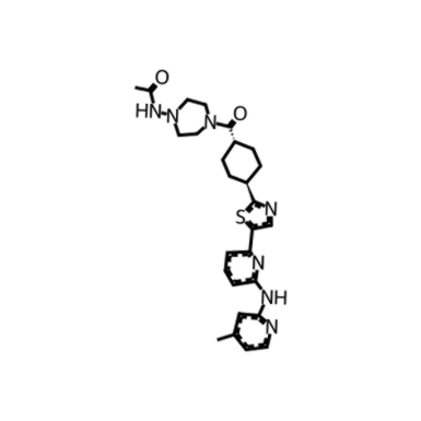 CC(=O)NN1CCN(C(=O)[C@H]2CC[C@H](c3ncc(-c4cccc(Nc5cc(C)ccn5)n4)s3)CC2)CC1